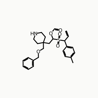 C=CC(c1ccc(C)cc1)S(=O)(=O)C(CC1(COCc2ccccc2)CCNCC1)OC=O